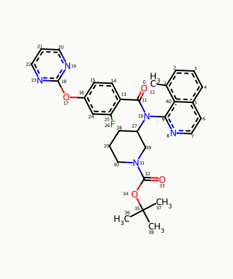 Cc1cccc2ccnc(N(C(=O)c3ccc(Oc4ncccn4)cc3F)C3CCCN(C(=O)OC(C)(C)C)C3)c12